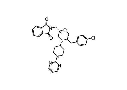 O=C1c2ccccc2C(=O)N1C[C@H]1CN(C2CCN(c3ncccn3)CC2)C(Cc2ccc(Cl)cc2)CO1